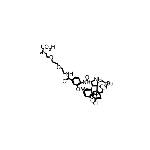 COc1cc(C(=O)NCCOCCOCCN(C)C(=O)O)ccc1NC(=O)[C@@H]1N[C@@H](CC(C)(C)C)[C@](C#N)(c2ccc(Cl)cc2F)[C@H]1c1cccc(Cl)c1F